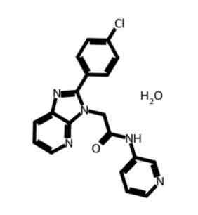 O.O=C(Cn1c(-c2ccc(Cl)cc2)nc2cccnc21)Nc1cccnc1